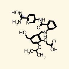 CC(C)Oc1cc(CO)cc(CNc2ccccc2C(=O)Nc2ccc(/C(N)=N/O)nc2)c1OCC(=O)O